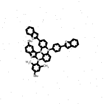 Cc1cc(C(C)(C)C)cc(C)c1N1c2cccc3c2B(c2cc(-c4cc5ccccc5o4)ccc2N3c2ccc(-c3cc4ccccc4o3)cc2)c2c1sc1ccc(C(C)(C)C)cc21